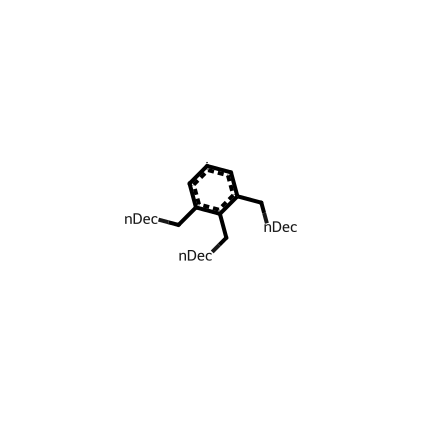 CCCCCCCCCCCc1c[c]cc(CCCCCCCCCCC)c1CCCCCCCCCCC